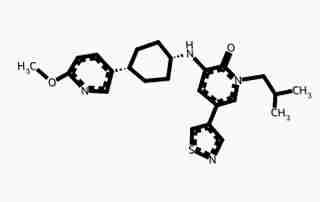 COc1ccc([C@H]2CC[C@@H](Nc3cc(-c4cnsc4)cn(CC(C)C)c3=O)CC2)cn1